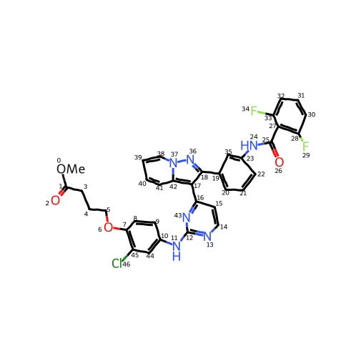 COC(=O)CCCOc1ccc(Nc2nccc(-c3c(-c4cccc(NC(=O)c5c(F)cccc5F)c4)nn4ccccc34)n2)cc1Cl